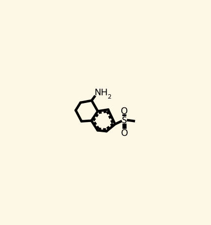 CS(=O)(=O)c1ccc2c(c1)C(N)CCC2